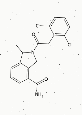 CC1c2cccc(C(N)=O)c2CN1C(=O)Cc1c(Cl)cccc1Cl